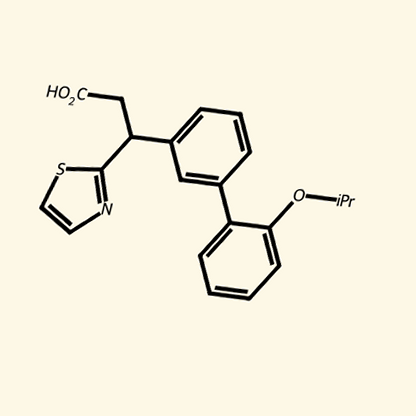 CC(C)Oc1ccccc1-c1cccc(C(CC(=O)O)c2nccs2)c1